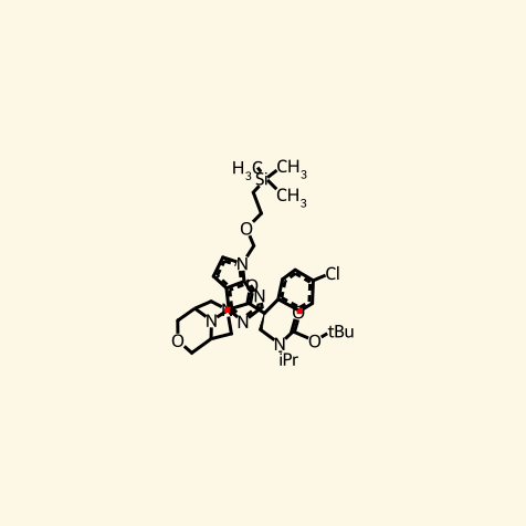 CC(C)N(C[C@@H](C(=O)N1CC2COCC(C1)N2c1ncnc2c1ccn2COCC[Si](C)(C)C)c1ccc(Cl)cc1)C(=O)OC(C)(C)C